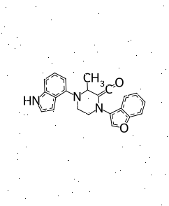 CC1C(=C=O)N(c2coc3ccccc23)CCN1c1cccc2[nH]ccc12